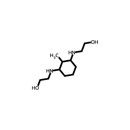 CC1C(NCCO)CCCC1NCCO